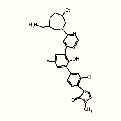 CCC1CCC(CN)CN(c2cc(-c3cc(F)cc(-c4ccc(-n5ccn(C)c5=O)c(Cl)c4)c3O)ccn2)C1